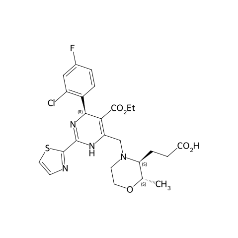 CCOC(=O)C1=C(CN2CCO[C@@H](C)[C@@H]2CCC(=O)O)NC(c2nccs2)=N[C@H]1c1ccc(F)cc1Cl